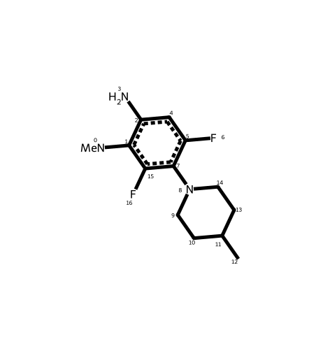 CNc1c(N)cc(F)c(N2CCC(C)CC2)c1F